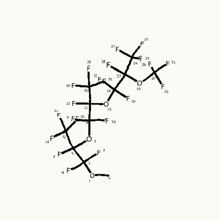 COC(F)(F)C(F)(OC(F)(F)C(F)(OC(F)(F)C(F)(OC(F)(F)F)C(F)(F)F)C(F)(F)F)C(F)(F)F